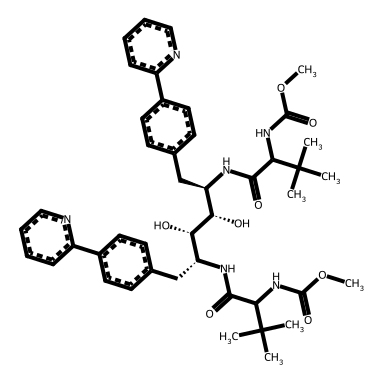 COC(=O)NC(C(=O)N[C@H](Cc1ccc(-c2ccccn2)cc1)[C@H](O)[C@@H](O)[C@@H](Cc1ccc(-c2ccccn2)cc1)NC(=O)C(NC(=O)OC)C(C)(C)C)C(C)(C)C